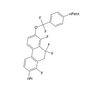 CCCCCc1ccc(C(F)(F)Oc2ccc3c(c2F)C(F)(F)Cc2c-3ccc(CCC)c2F)cc1